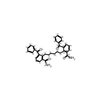 NC(=O)c1cccc(C(=O)c2ccccc2)c1CCCCCCc1c(C(N)=O)cccc1C(=O)c1ccccc1